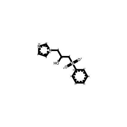 O=S(=O)(CC(O)Cn1ccnc1)c1ccccc1